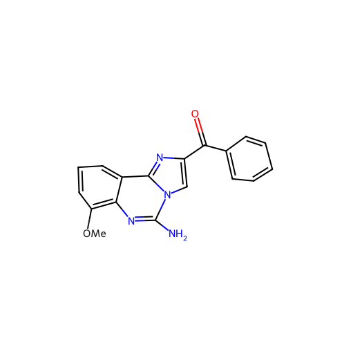 COc1cccc2c1nc(N)n1cc(C(=O)c3ccccc3)nc21